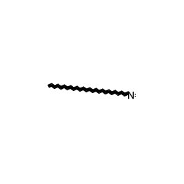 CCCCCCCCCCCCCCCCCCCCCCCCCC[N]